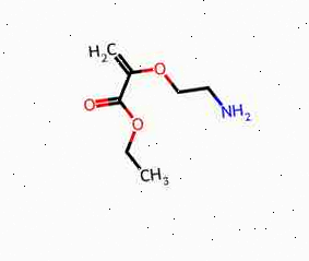 C=C(OCCN)C(=O)OCC